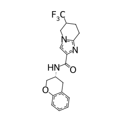 O=C(N[C@H]1COc2ccccc2C1)c1cn2c(n1)CCC(C(F)(F)F)C2